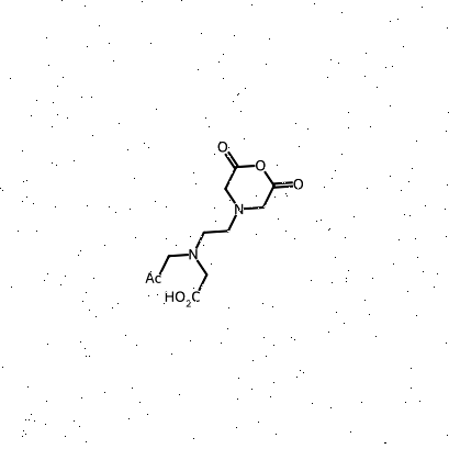 CC(=O)CN(CCN1CC(=O)OC(=O)C1)CC(=O)O